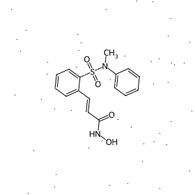 CN(c1ccccc1)S(=O)(=O)c1ccccc1C=CC(=O)NO